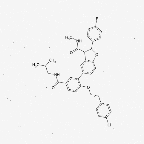 CNC(=O)C1c2cc(-c3cc(C(=O)NCC(C)C)ccc3OCCc3ccc(Cl)cc3)ccc2OC1c1ccc(F)cc1